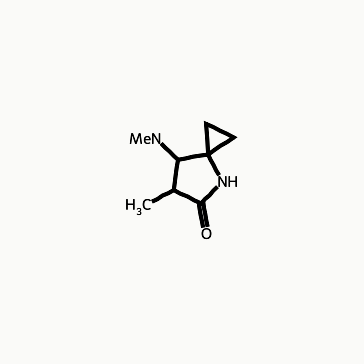 CNC1C(C)C(=O)NC12CC2